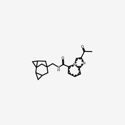 CC(=O)c1cn2c(C(=O)NCC34CC5CC5C5(CC5C3)C4)cccc2n1